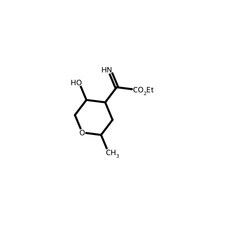 CCOC(=O)C(=N)C1CC(C)OCC1O